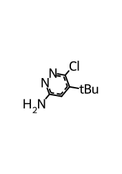 CC(C)(C)c1cc(N)nnc1Cl